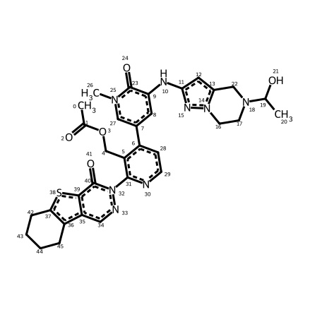 CC(=O)OCc1c(-c2cc(Nc3cc4n(n3)CCN(C(C)O)C4)c(=O)n(C)c2)ccnc1-n1ncc2c3c(sc2c1=O)CCCC3